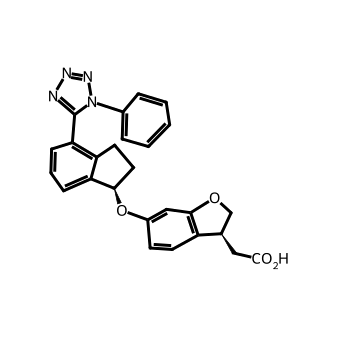 O=C(O)C[C@@H]1COc2cc(O[C@@H]3CCc4c(-c5nnnn5-c5ccccc5)cccc43)ccc21